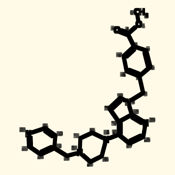 COC(=O)c1ccc(Cn2ccc3c(N4CCN(Cc5ccncc5)CC4)ccnc32)cc1